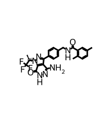 Cc1ccc(C)c(C(=O)NCc2ccc(-c3nn([C@H](C)C(F)(F)F)c4c(=O)[nH]nc(N)c34)cc2)c1